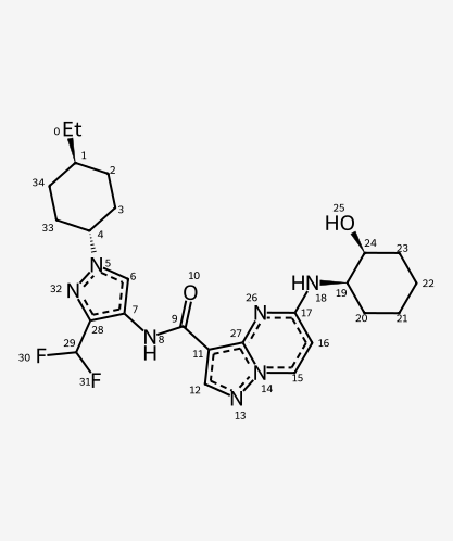 CC[C@H]1CC[C@H](n2cc(NC(=O)c3cnn4ccc(N[C@@H]5CCCC[C@@H]5O)nc34)c(C(F)F)n2)CC1